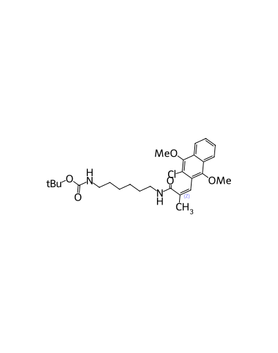 COc1c(Cl)c(/C=C(/C)C(=O)NCCCCCCNC(=O)OC(C)(C)C)c(OC)c2ccccc12